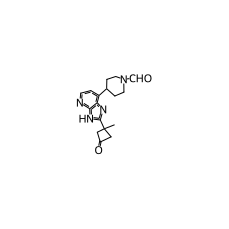 CC1(c2nc3c(C4CCN(C=O)CC4)ccnc3[nH]2)CC(=O)C1